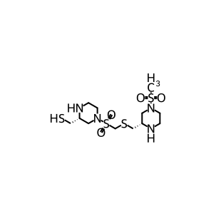 CS(=O)(=O)N1CCN[C@H](CSCS(=O)(=O)N2CCN[C@@H](CS)C2)C1